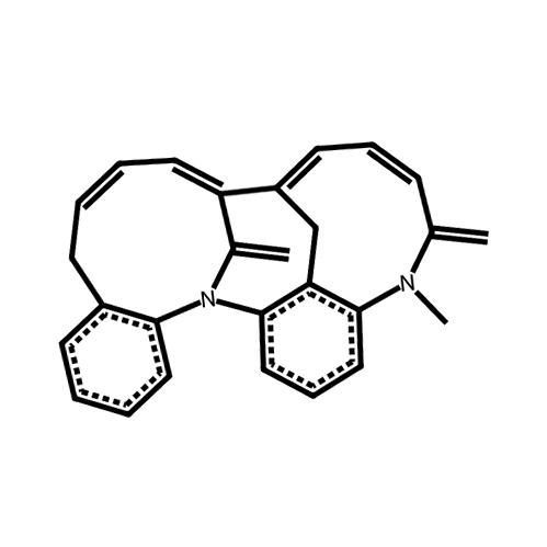 C=C1\C=C/C=C2\Cc3c(cccc3N3C(=C)\C2=C/C=C\Cc2ccccc23)N1C